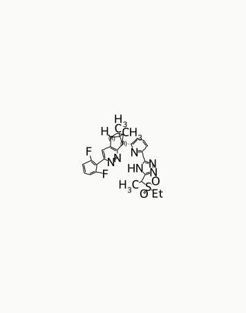 CCS(=O)(=O)C(C)c1nnc(-c2cccc([C@]34CC[C@@H](c5cc(-c6c(F)cccc6F)nnc53)C4(C)C)n2)[nH]1